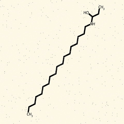 CCCCCCCCCCCCCCCCCCNC(O)CC